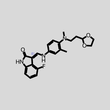 Cc1cc(N/C=C2/C(=O)Nc3cccc(F)c32)ccc1N(C)CCC1OCCO1